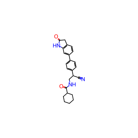 N#CC(CNC(=O)C1CCCCC1)c1ccc(-c2ccc3c(c2)NC(=O)C3)cc1